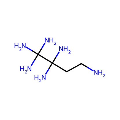 NCCC(N)(N)C(N)(N)N